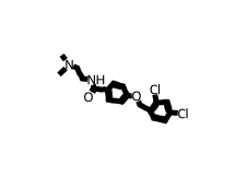 CN(C)CCNC(=O)c1ccc(OCc2ccc(Cl)cc2Cl)cc1